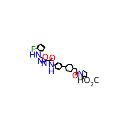 O=C(Nc1ccc(C2CCC(CC(=O)N3CCC[C@H]3C(=O)O)CC2)cc1)c1nnc(Nc2ccccc2F)o1